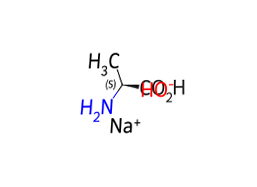 C[C@H](N)C(=O)O.[Na+].[OH-]